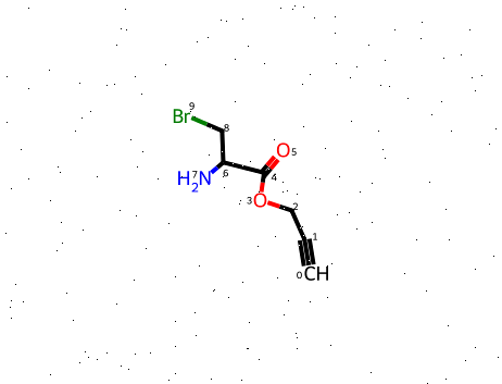 C#CCOC(=O)C(N)CBr